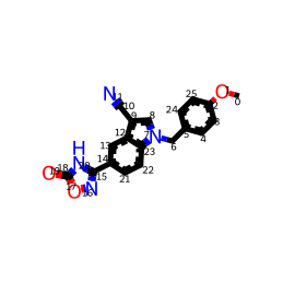 COc1ccc(Cn2cc(C#N)c3cc(-c4noc(=O)[nH]4)ccc32)cc1